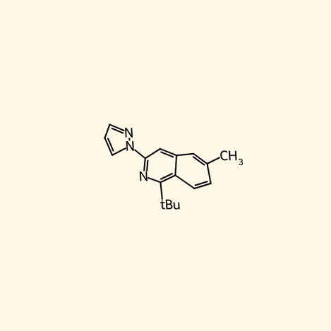 Cc1ccc2c(C(C)(C)C)nc(-n3cccn3)cc2c1